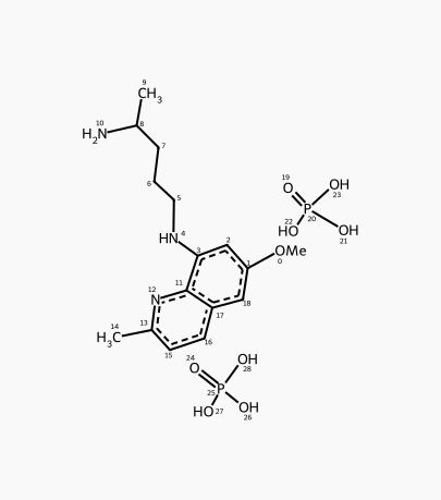 COc1cc(NCCCC(C)N)c2nc(C)ccc2c1.O=P(O)(O)O.O=P(O)(O)O